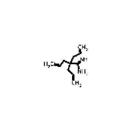 C=CCC(CC=C)(CC=C)C(=N)N